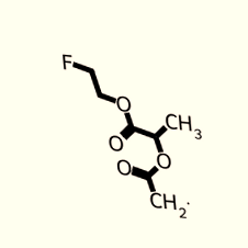 [CH2]C(=O)OC(C)C(=O)OCCF